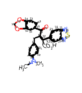 CN(C)c1ccc(C/C(C(=O)c2ccc3c(c2)OCO3)=C(\C(=O)O)c2ccc3nsnc3c2)cc1